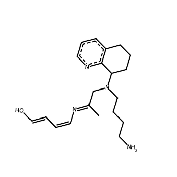 C\C(CN(CCCCN)C1CCCc2cccnc21)=N/C=C\C=C\O